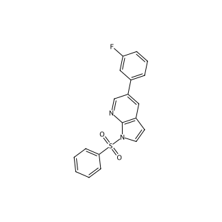 O=S(=O)(c1ccccc1)n1ccc2cc(-c3cccc(F)c3)cnc21